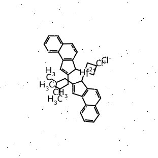 CC(C)CC1=Cc2c(ccc3ccccc23)[CH]1[Hf+2]1([CH]2C(CC(C)C)=Cc3c2ccc2ccccc32)[CH2]C[CH2]1.[Cl-].[Cl-]